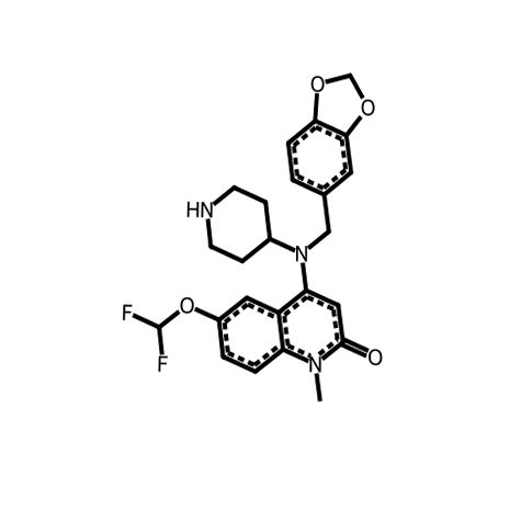 Cn1c(=O)cc(N(Cc2ccc3c(c2)OCO3)C2CCNCC2)c2cc(OC(F)F)ccc21